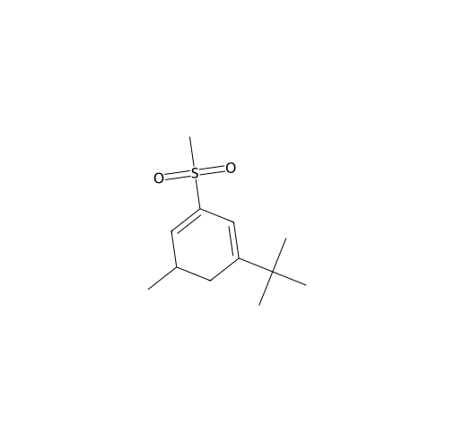 CC1C=C(S(C)(=O)=O)C=C(C(C)(C)C)C1